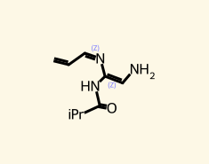 C=C/C=N\C(=C/N)NC(=O)C(C)C